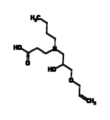 C=CCOCC(O)CN(CCCC)CCC(=O)O